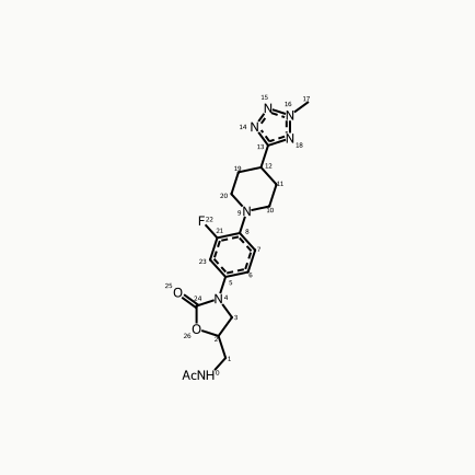 CC(=O)NCC1CN(c2ccc(N3CCC(c4nnn(C)n4)CC3)c(F)c2)C(=O)O1